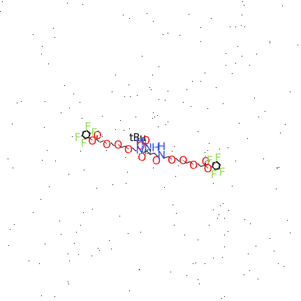 CC(C)(C)OC(=O)N[C@@H](CCC(=O)NCCOCCOCCOCCC(=O)Oc1c(F)c(F)cc(F)c1F)C(=O)NCCOCCOCCOCCC(=O)Oc1c(F)c(F)cc(F)c1F